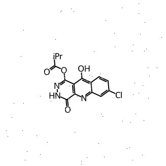 CC(C)C(=O)Oc1n[nH]c(=O)c2nc3cc(Cl)ccc3c(O)c12